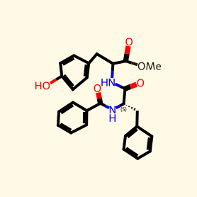 COC(=O)C(Cc1ccc(O)cc1)NC(=O)[C@H](Cc1ccccc1)NC(=O)c1ccccc1